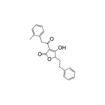 Cc1ccccc1CC(=O)C1=C(O)C(CCc2ccccc2)OC1=O